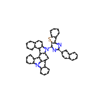 c1ccc2cc(-c3nc(-n4c5ccc6ccccc6c5c5c6c7ccccc7n7c8ccccc8c(cc54)c67)c4sc5ccccc5c4n3)ccc2c1